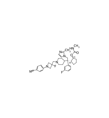 CNC(=O)O[C@H]1CCC[C@@H]1C(Cn1ccnc1C)(c1cccc(F)c1)C1CCN(CC2(F)CN(c3ccc(C#N)cc3)C2)CC1